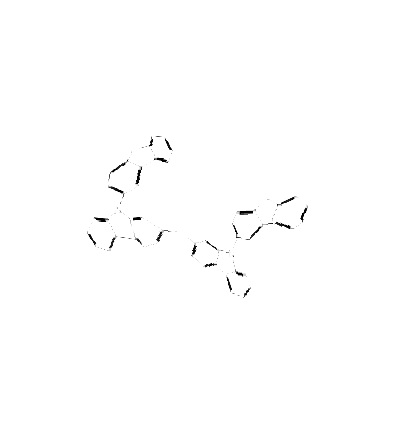 c1ccc2c(c1)oc1ccc(-n3c4ccccc4c4ccc(Oc5ccc6c7ccccc7n(-c7ccc8sc9ccccc9c8c7)c6c5)cc43)cc12